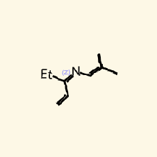 C=C/C(CC)=N\C=C(C)C